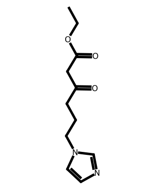 CCOC(=O)CC(=O)CCCn1ccnc1